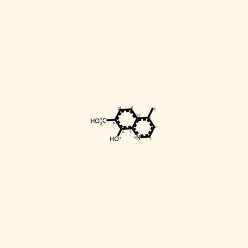 Cc1ccnc2c(O)c(C(=O)O)ccc12